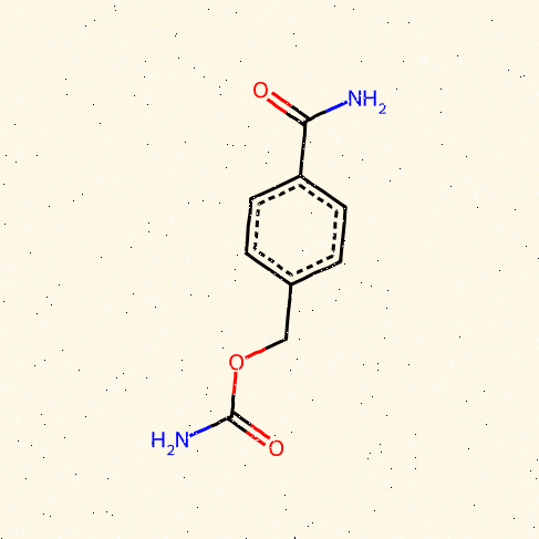 NC(=O)OCc1ccc(C(N)=O)cc1